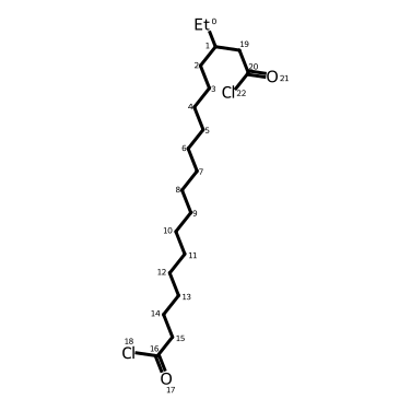 CCC(CCCCCCCCCCCCCCC(=O)Cl)CC(=O)Cl